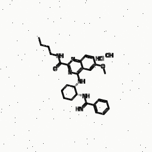 CCCCNC(=O)c1nc(N[C@H]2CCCC[C@H]2NC(=N)c2ccccc2)c2cc(OC)ccc2n1.Cl.Cl